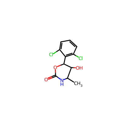 CC1NC(=O)OC(c2c(Cl)cccc2Cl)C1O